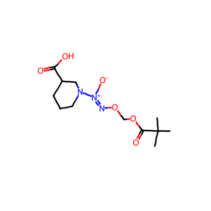 CC(C)(C)C(=O)OCON=[N+]([O-])N1CCCC(C(=O)O)C1